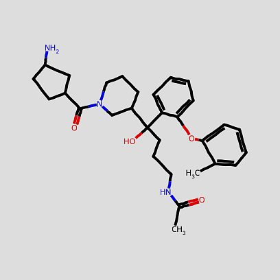 CC(=O)NCCCC(O)(c1ccccc1Oc1ccccc1C)C1CCCN(C(=O)C2CCC(N)C2)C1